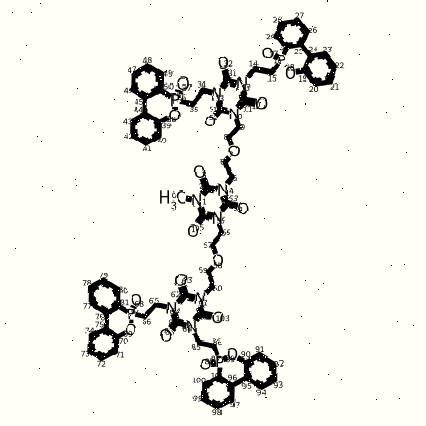 Cn1c(=O)n(CCOCCn2c(=O)n(CCP3(=O)Oc4ccccc4-c4ccccc43)c(=O)n(CCP3(=O)Oc4ccccc4-c4ccccc43)c2=O)c(=O)n(CCOCCn2c(=O)n(CCP3(=O)Oc4ccccc4-c4ccccc43)c(=O)n(CCP3(=O)Oc4ccccc4-c4ccccc43)c2=O)c1=O